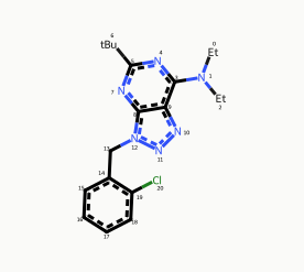 CCN(CC)c1nc(C(C)(C)C)nc2c1nnn2Cc1ccccc1Cl